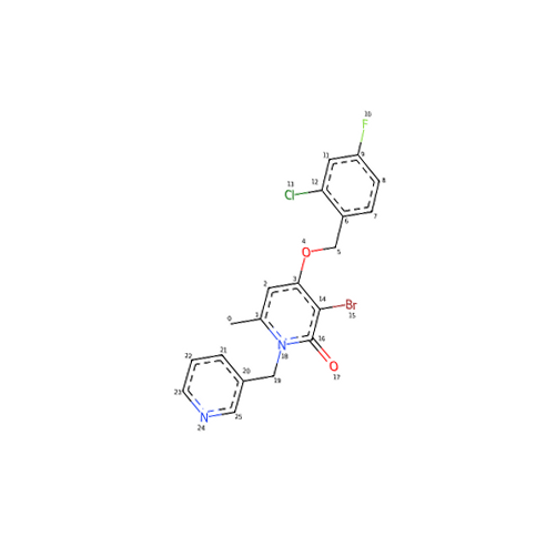 Cc1cc(OCc2ccc(F)cc2Cl)c(Br)c(=O)n1Cc1cccnc1